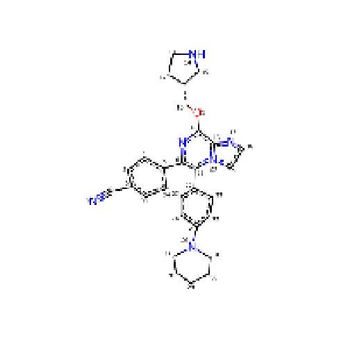 N#Cc1ccc(-c2nc(OC[C@@H]3CCNC3)c3nccn3c2-c2ccc(N3CCCCC3)cc2)cc1